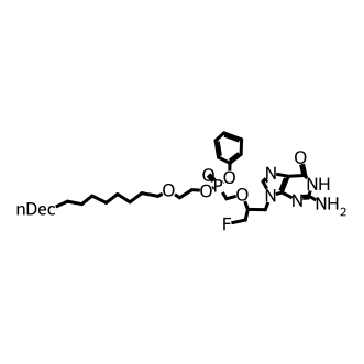 CCCCCCCCCCCCCCCCCCOCCOP(=O)(COC(CF)Cn1cnc2c(=O)[nH]c(N)nc21)Oc1ccccc1